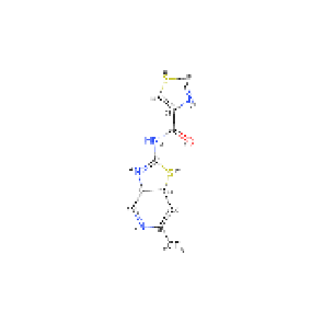 O=C(Nc1nc2cnc(C(F)(F)F)cc2s1)c1cscn1